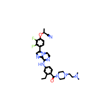 CCc1cc(Nc2nccn3c(-c4ccc(OC(C)C#N)c(F)c4F)cnc23)ccc1C(=O)N1CCN(CCN(C)C)CC1